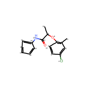 Cc1cc(Cl)ccc1OC(C)C(=O)Nc1ccccc1